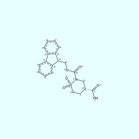 O=C(O)[C@@H]1COS(=O)(=O)N(C(=O)OCC2c3ccccc3-c3ccccc32)C1